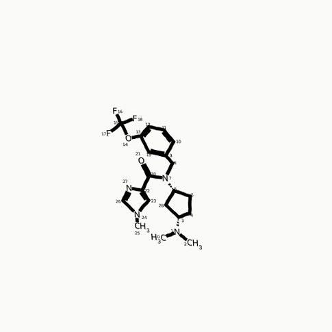 CN(C)[C@H]1CC[C@@H](N(Cc2cccc(OC(F)(F)F)c2)C(=O)c2cn(C)cn2)C1